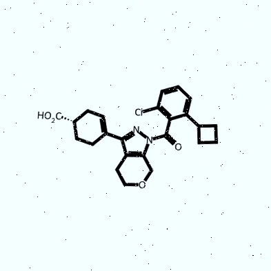 O=C(O)[C@@H]1CC=C(c2nn(C(=O)c3c(Cl)cccc3C3CCC3)c3c2CCOC3)CC1